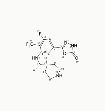 C[C@H](Nc1cc(-c2n[nH]c(=O)o2)cc(F)c1C(F)(F)F)C1(C)CCNCC1